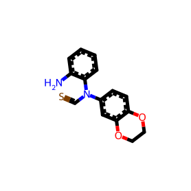 Nc1ccccc1N(C=S)c1ccc2c(c1)OCCO2